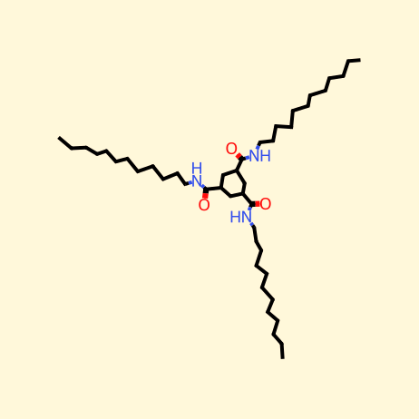 CCCCCCCCCCCCNC(=O)C1CC(C(=O)NCCCCCCCCCCCC)CC(C(=O)NCCCCCCCCCCCC)C1